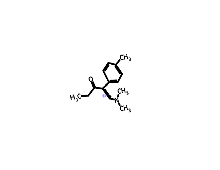 CCC(=O)/C(=C/N(C)C)c1ccc(C)cc1